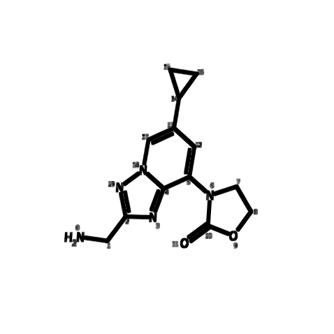 NCc1nc2c(N3CCOC3=O)cc(C3CC3)cn2n1